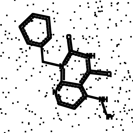 CC(C)Nc1ccnc2c1c(=O)[nH]c(=O)n2Cc1ccccc1